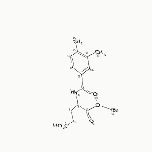 CCC(C)OC(=O)C(CCC(=O)O)NC(=O)c1ccc(N)c(C)c1